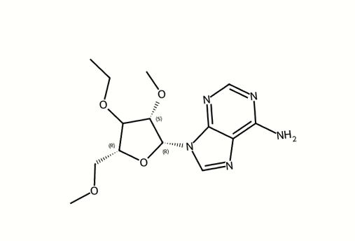 CCOC1[C@@H](COC)O[C@@H](n2cnc3c(N)ncnc32)[C@H]1OC